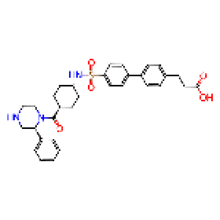 O=C(O)CCc1ccc(-c2ccc(S(=O)(=O)N[C@H]3CC[C@H](C(=O)N4CCNC[C@@H]4c4ccccc4)CC3)cc2)cc1